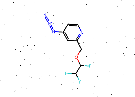 [N-]=[N+]=Nc1ccnc(COC(F)C(F)F)c1